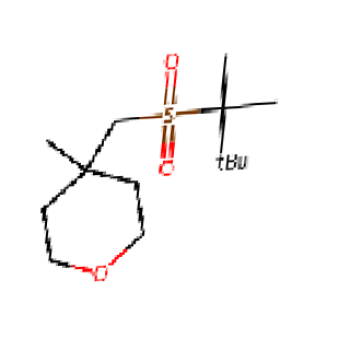 CC1(CS(=O)(=O)C(C)(C)C(C)(C)C)CCOCC1